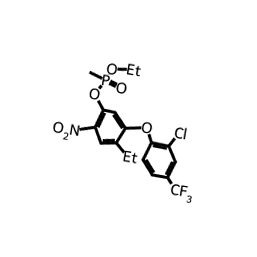 CCOP(C)(=O)Oc1cc(Oc2ccc(C(F)(F)F)cc2Cl)c(CC)cc1[N+](=O)[O-]